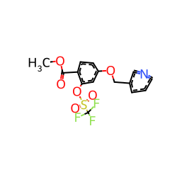 COC(=O)c1ccc(OCc2cccnc2)cc1OS(=O)(=O)C(F)(F)F